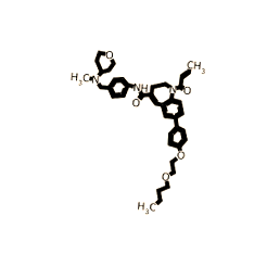 C/C=C/C(=O)N1CCC(C(=O)Nc2ccc(CN(C)C3CCOCC3)cc2)=Cc2cc(-c3ccc(OCCOCCCC)cc3)ccc21